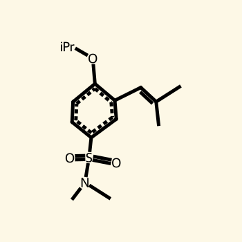 CC(C)=Cc1cc(S(=O)(=O)N(C)C)ccc1OC(C)C